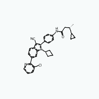 C[C@@H](CC(=O)Nc1ccc(-c2c(C#N)c3ccc(-c4ncccc4Cl)cc3n2C2CCC2)cc1)C1CC1